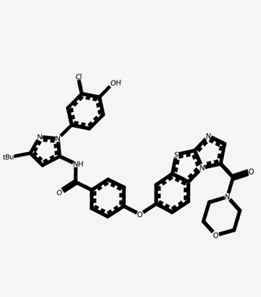 CC(C)(C)c1cc(NC(=O)c2ccc(Oc3ccc4c(c3)sc3ncc(C(=O)N5CCOCC5)n34)cc2)n(-c2ccc(O)c(Cl)c2)n1